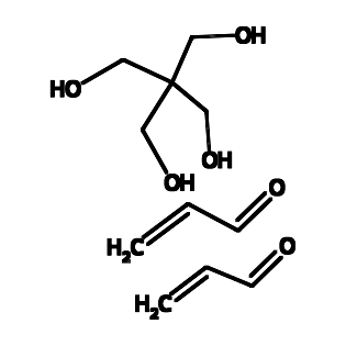 C=CC=O.C=CC=O.OCC(CO)(CO)CO